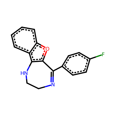 Fc1ccc(C2=NCCNc3c2oc2ccccc32)cc1